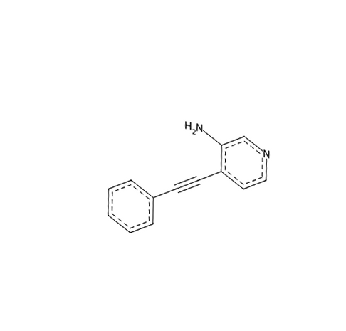 Nc1cnccc1C#Cc1ccccc1